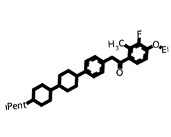 CCCCCC1CCC(C2CCC(c3ccc(CC(=O)c4ccc(OCC)c(F)c4C)cc3)CC2)CC1